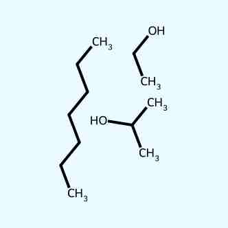 CC(C)O.CCCCCCC.CCO